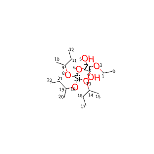 CC[O][Zr]([OH])([OH])[O][Si](OC(C)CC)(OC(C)CC)OC(C)CC